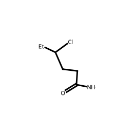 CCC(Cl)CCC([NH])=O